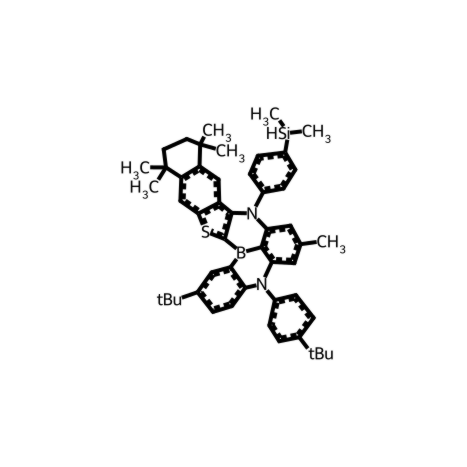 Cc1cc2c3c(c1)N(c1ccc([SiH](C)C)cc1)c1c(sc4cc5c(cc14)C(C)(C)CCC5(C)C)B3c1cc(C(C)(C)C)ccc1N2c1ccc(C(C)(C)C)cc1